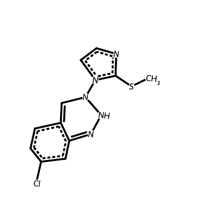 CSc1nccn1N1C=c2ccc(Cl)cc2=NN1